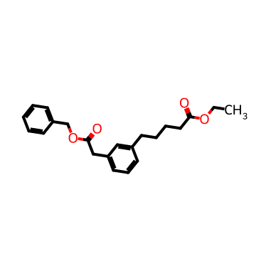 CCOC(=O)CCCCc1cccc(CC(=O)OCc2ccccc2)c1